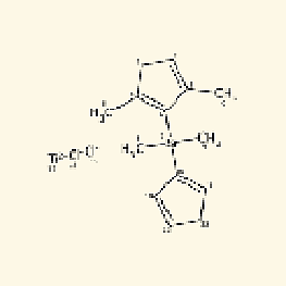 CC1=CCC(C)=C1[Si](C)(C)C1=CCC=C1.[Cl-].[Cl-].[Ti+2]